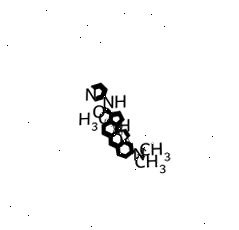 CN(C)C1CCC2=CC3=CC[C@]4(C)C(C(=O)Nc5cccnc5)=CC[C@H]4[C@@]34CC[C@]2(C1)O4